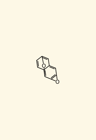 c1cc2c3c4c(cc2cc1O3)O4